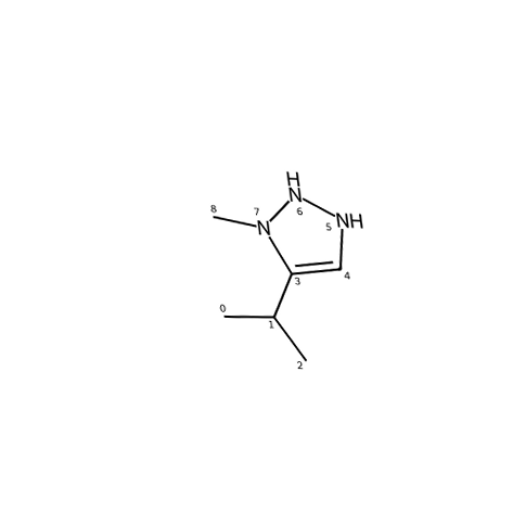 CC(C)C1=CNNN1C